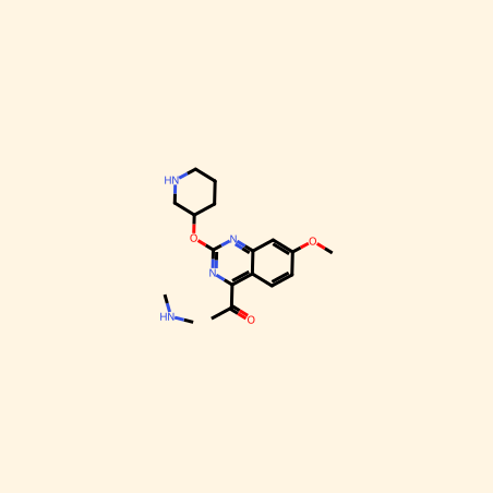 CNC.COc1ccc2c(C(C)=O)nc(OC3CCCNC3)nc2c1